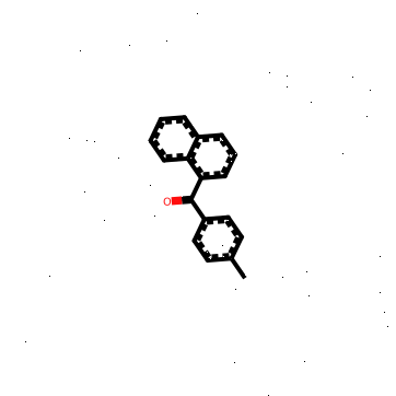 Cc1ccc(C(=O)c2cccc3ccccc23)cc1